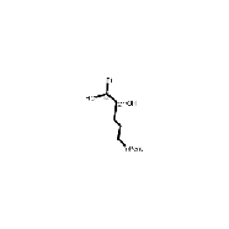 CCCCCCCC[C@@H](O)[C@@H](O)CC